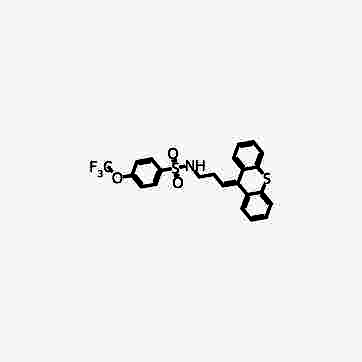 O=S(=O)(NCCC=C1c2ccccc2Sc2ccccc21)c1ccc(OC(F)(F)F)cc1